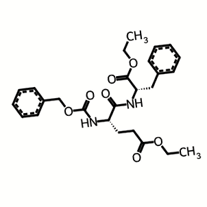 CCOC(=O)CC[C@H](NC(=O)OCc1ccccc1)C(=O)N[C@@H](Cc1ccccc1)C(=O)OCC